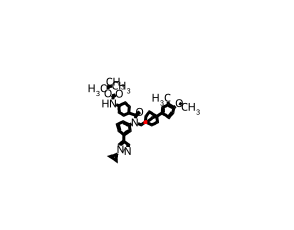 COc1ccc(C23CCC(CN(C(=O)C4CCC(NC(=O)OC(C)(C)C)CC4)c4cccc(-c5cnn(C6CC6)c5)c4)(CC2)CC3)cc1C